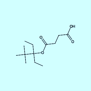 CCC(CC)(OC(=O)CCC(=O)O)C(C)(C)C